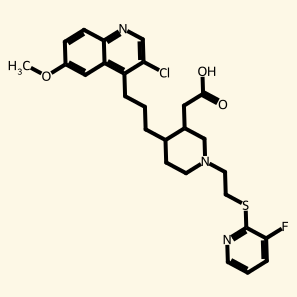 COc1ccc2ncc(Cl)c(CCCC3CCN(CCSc4ncccc4F)CC3CC(=O)O)c2c1